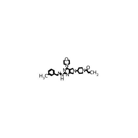 C=CC(=O)N1CCC(N2Cc3nc(N/N=C/c4cccc(C)c4)nc(N4CCOCC4)c3C2)CC1